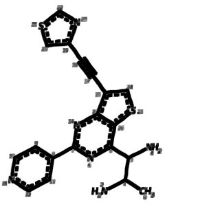 CC(N)C(N)c1nc(-c2ccncc2)nc2c(C#Cc3cscn3)csc12